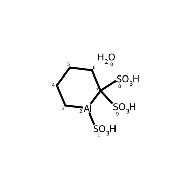 O.O=[S](=O)(O)[Al]1[CH2]CCC[C]1(S(=O)(=O)O)S(=O)(=O)O